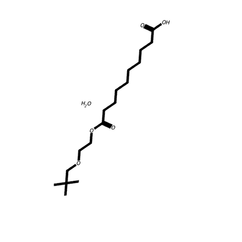 CC(C)(C)COCCOC(=O)CCCCCCCCC(=O)O.O